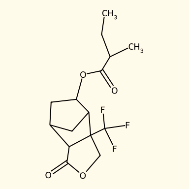 CCC(C)C(=O)OC1CC2CC1C1(C(F)(F)F)COC(=O)C21